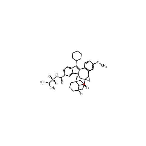 COc1ccc2c(c1)C1CC1(C(=O)N1[C@@H]3CCC[C@H]1COC3)Cn1c-2c(C2CCCCC2)c2ccc(C(=O)NS(=O)(=O)C(C)C)cc21